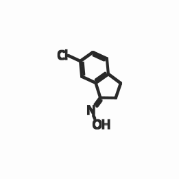 O/N=C1\CCc2ccc(Cl)cc21